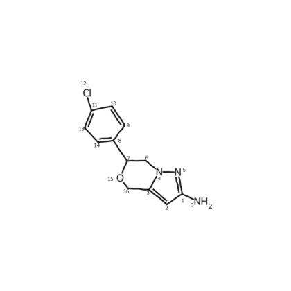 Nc1cc2n(n1)CC(c1ccc(Cl)cc1)OC2